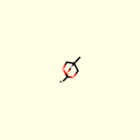 CC(C)C12OCC(C)(CO1)CO2